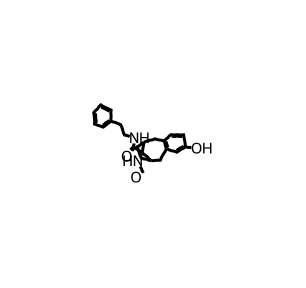 O=CNC1(C(=O)NCCc2ccccc2)C2CCC1Cc1cc(O)ccc1C2